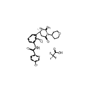 C[C@@]1(c2cccc(NC(=O)c3ccc(Cl)cn3)c2Cl)CC(=O)N(C2CCOCC2)C(=N)N1.O=C(O)C(F)(F)F